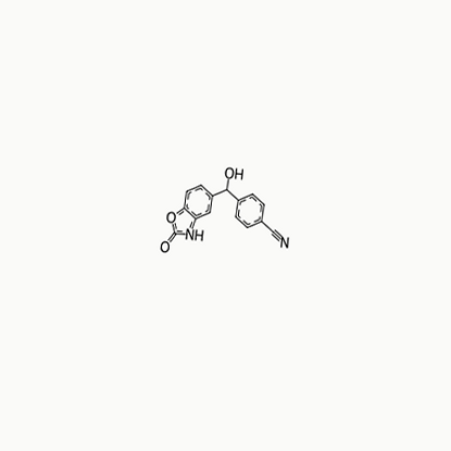 N#Cc1ccc(C(O)c2ccc3oc(=O)[nH]c3c2)cc1